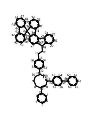 C1=C(/c2ccccc2)CCCC(c2ccc(CCC3c4ccccc4-c4c3ccc3c4-c4ccccc4C34c3ccccc3-c3ccccc34)cc2)\N=C/1c1ccc(-c2ccccc2)cc1